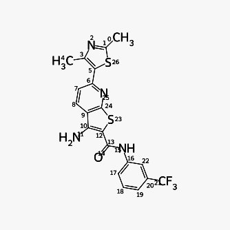 Cc1nc(C)c(-c2ccc3c(N)c(C(=O)Nc4cccc(C(F)(F)F)c4)sc3n2)s1